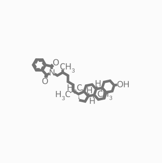 CC(CCC[C@@H](C)[C@H]1CC[C@H]2[C@@H]3CC=C4CC(O)CC[C@]4(C)[C@H]3CC[C@]12C)CN1C(=O)c2ccccc2C1=O